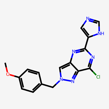 COc1ccc(Cn2cc3nc(-c4cnc[nH]4)nc(Cl)c3n2)cc1